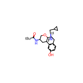 CC(C)(C)C(=O)NC1COC2[C@H]3Cc4ccc(O)cc4[C@@]2(CCN3CC2CC2)C1